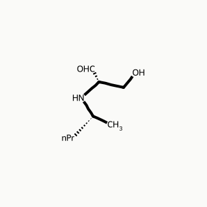 CCC[C@@H](C)N[C@H](C=O)CO